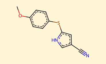 COc1ccc(Sc2cc(C#N)c[nH]2)cc1